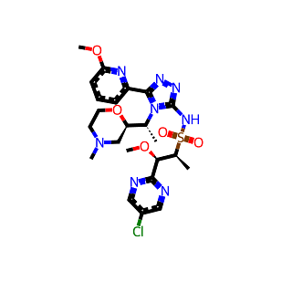 COc1cccc(-c2nnc(NS(=O)(=O)[C@@H](C)[C@H](OC)c3ncc(Cl)cn3)n2[C@H](C)[C@H]2CN(C)CCO2)n1